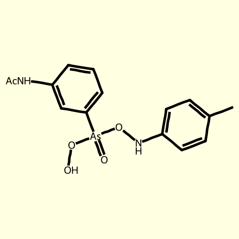 CC(=O)Nc1cccc([As](=O)(OO)ONc2ccc(C)cc2)c1